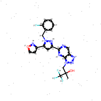 CC(O)(Cn1nnc2cnc(-c3cc(-c4ccon4)n(Cc4ccccc4F)n3)nc21)C(F)(F)F